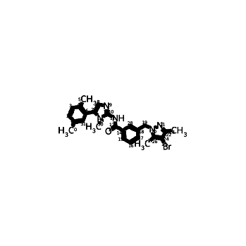 Cc1ccc(C)c(-c2cnc(NC(=O)c3cccc(Cn4nc(C)c(Br)c4C)c3)n2C)c1